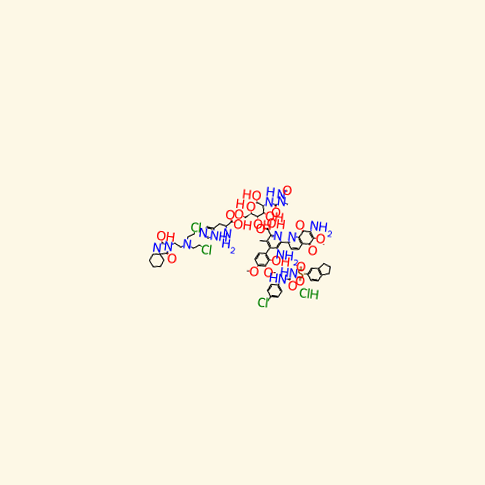 CN(N=O)C(=O)N[C@@H]1[C@@H](O)[C@H](O)[C@@H](CO)O[C@@H]1O.COC1=C(N)C(=O)c2nc(-c3nc(C(=O)O)c(C)c(-c4ccc(OC)c(OC)c4O)c3N)ccc2C1=O.Cl.N[C@@H](Cc1cnc[nH]1)C(=O)O.O=C(Nc1ccc(Cl)cc1)NS(=O)(=O)c1ccc2c(c1)CCC2.O=C1N(CCN(CCCl)CCCl)C(O)=NC12CCCCC2